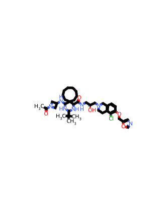 CC(=O)N1CC(NC2NC(C(C)(C)C)NC(C(=O)NC[C@H](O)CN3CCc4c(ccc(OCc5cnco5)c4Cl)C3)C23CCCCCCCC3)C1